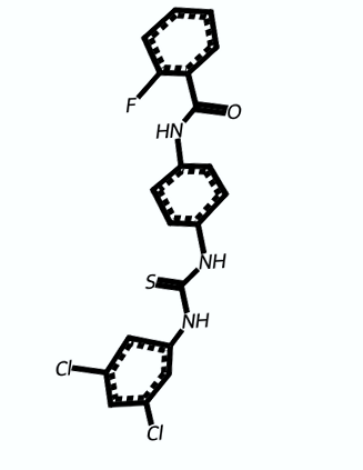 O=C(Nc1ccc(NC(=S)Nc2cc(Cl)cc(Cl)c2)cc1)c1ccccc1F